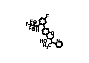 CC(c1ccccn1)[C@@H]1COc2cc(-c3cc(F)ccc3NS(=O)(=O)C(F)(F)F)ccc2[C@H]1O